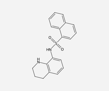 O=S(=O)(Nc1cccc2c1NCCC2)c1cccc2ccccc12